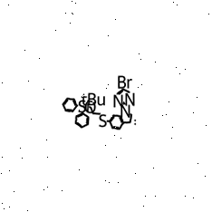 CC(C)(C)[Si](OCCSc1ccc2c(c1)N(c1ncc(Br)cn1)C[C]2)(c1ccccc1)c1ccccc1